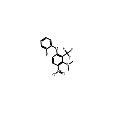 CN(C)c1c([N+](=O)[O-])ccc(Oc2ccccc2F)c1C(F)(F)F